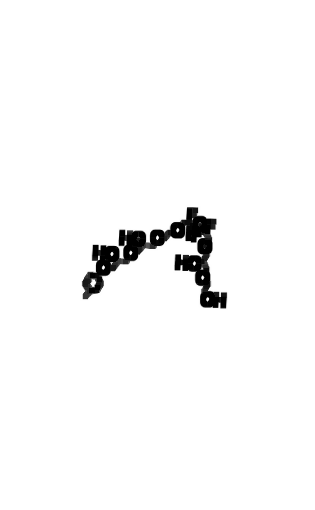 Cc1ccc(OCC(O)COCC(O)COCCOCC(F)(F)OC(F)(F)COCC(O)COCCO)cc1